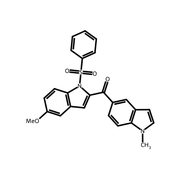 COc1ccc2c(c1)cc(C(=O)c1ccc3c(ccn3C)c1)n2S(=O)(=O)c1ccccc1